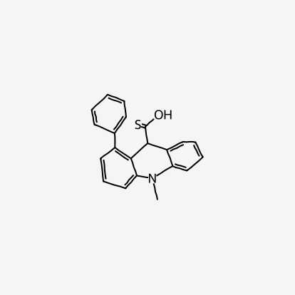 CN1c2ccccc2C(C(O)=S)c2c(-c3ccccc3)cccc21